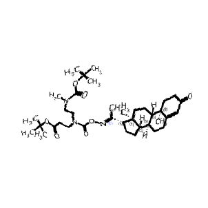 C/C(=N\OC(=O)N(CCC(=O)OC(C)(C)C)CCN(C)C(=O)OC(C)(C)C)[C@H]1CC[C@H]2[C@@H]3CCC4=CC(=O)CC[C@]4(C)[C@H]3CC[C@]12C